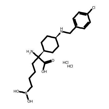 Cl.Cl.NC(CCCCB(O)O)(C(=O)O)[C@H]1CC[C@@H](NCc2ccc(Cl)cc2)CC1